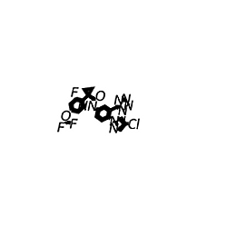 O=C(Nc1ccc(-n2cc(Cl)cn2)c(-c2nnn[nH]2)c1)C1(c2ccc(OC(F)F)cc2F)CC1